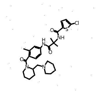 Cc1cc(NC(=O)C(C)(C)NC(=O)c2ccc(Cl)s2)ccc1C(=O)N1CCCCC1CN1CCCCC1